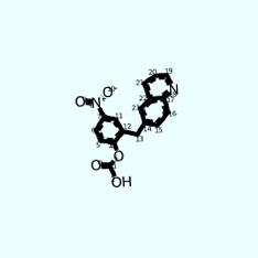 O=C(O)Oc1ccc([N+](=O)[O-])cc1Cc1ccc2ncccc2c1